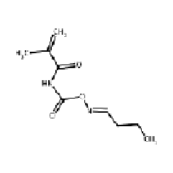 C=C(C)C(=O)NC(=O)ON=CCCC